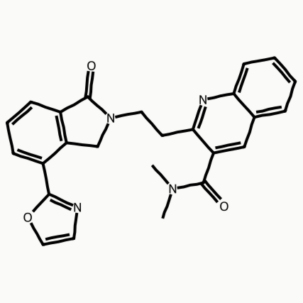 CN(C)C(=O)c1cc2ccccc2nc1CCN1Cc2c(cccc2-c2ncco2)C1=O